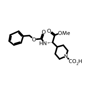 COC(=O)[C@@H](NC(=O)OCc1ccccc1)C1CCN(C(=O)O)CC1